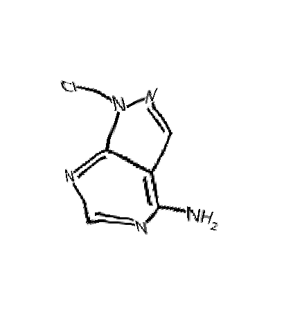 Nc1ncnc2c1cnn2Cl